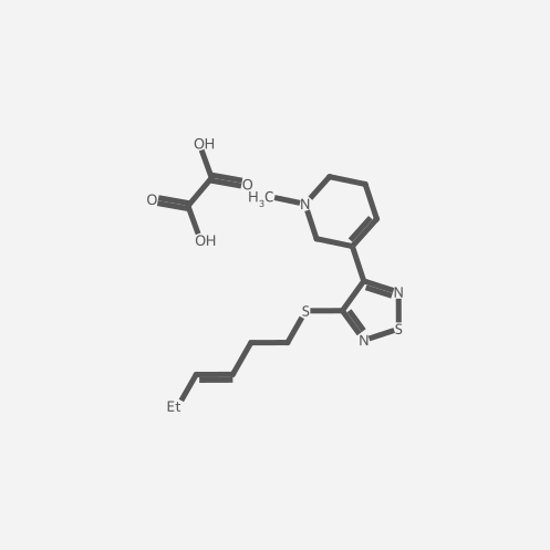 CCC=CCCSc1nsnc1C1=CCCN(C)C1.O=C(O)C(=O)O